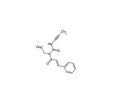 CC#CNC(=O)N(C[C]=O)C(=O)/C=C/c1ccccc1